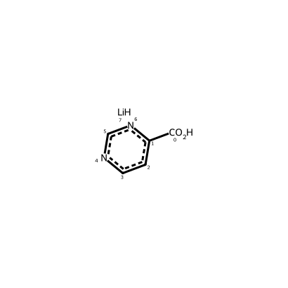 O=C(O)c1ccncn1.[LiH]